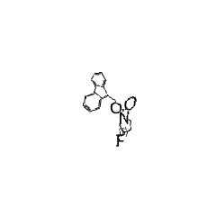 O=C(OCC1c2ccccc2-c2ccccc21)N1CC[C@H](F)C1